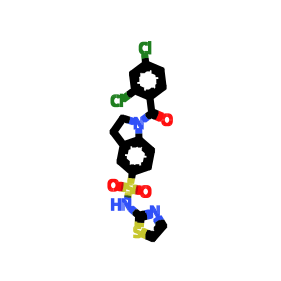 O=C(c1ccc(Cl)cc1Cl)N1CCc2cc(S(=O)(=O)Nc3nccs3)ccc21